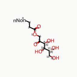 CCCCCCCCCCCC(=O)OCC(=O)[C@@H](O)[C@H](O)[C@H](O)CO